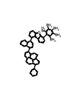 Bc1c(B)c(B)c(-c2cccc3c2oc2cccc(-c4ccc(-c5ccc6ccc7c(-c8ccccc8)ccc8ccc5c6c87)c5ccccc45)c23)c(B)c1B